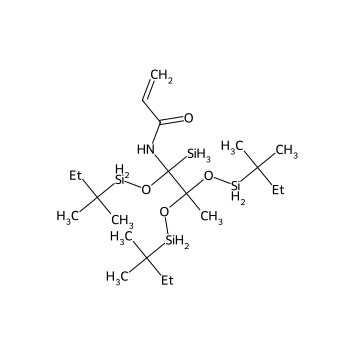 C=CC(=O)NC([SiH3])(O[SiH2]C(C)(C)CC)C(C)(O[SiH2]C(C)(C)CC)O[SiH2]C(C)(C)CC